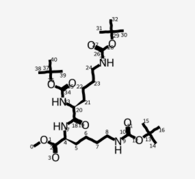 COC(=O)[C@H](CCCCNC(=O)OC(C)(C)C)NC(=O)[C@H](CCCCNC(=O)OC(C)(C)C)NC(=O)OC(C)(C)C